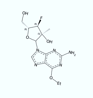 CCOc1nc(N)nc2c1ncn2C1O[C@H](CO)[C@@H](F)[C@@]1(C)O